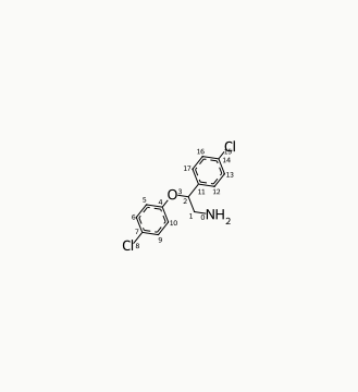 NCC(Oc1ccc(Cl)cc1)c1ccc(Cl)cc1